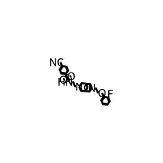 N#Cc1ccc(S(=O)(=O)NCCN2CC3CN(CCOc4ccccc4F)CC(C2)O3)cc1